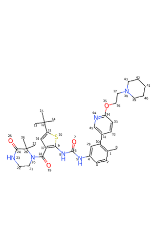 Cc1ccc(NC(=O)Nc2sc(C(C)(C)C)cc2C(=O)N2CCNC(=O)C2(C)C)cc1-c1ccc(OCCN2CCCCC2)nc1